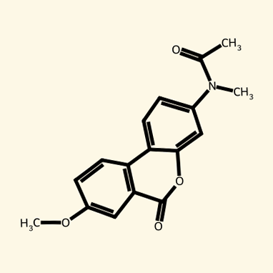 COc1ccc2c(c1)c(=O)oc1cc(N(C)C(C)=O)ccc12